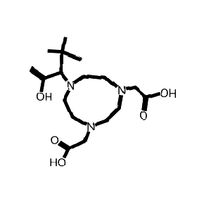 C=C(O)C(N1CCN(CC(=O)O)CCN(CC(=O)O)CC1)C(C)(C)C